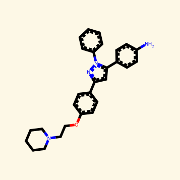 Nc1ccc(-c2cc(-c3ccc(OCCN4CCCCC4)cc3)nn2-c2ccccc2)cc1